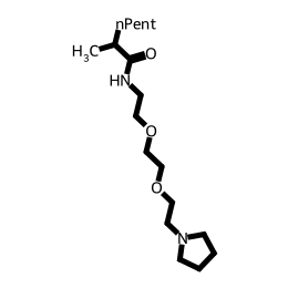 CCCCCC(C)C(=O)NCCOCCOCCN1CCCC1